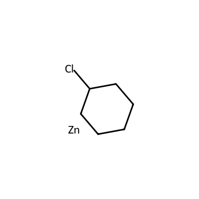 ClC1CCCCC1.[Zn]